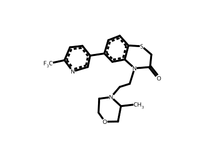 CC1COCCN1CCN1C(=O)CSc2ccc(-c3ccc(C(F)(F)F)nc3)cc21